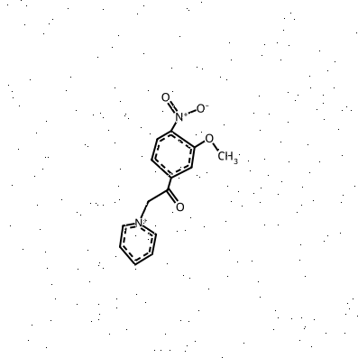 COc1cc(C(=O)C[n+]2ccccc2)ccc1[N+](=O)[O-]